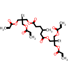 C=CC(=O)OCC(CC)(COC(=O)C=C)COC(=O)CCC(C)CC(=O)OCC(CC)(COC(=O)C=C)COC(=O)C=C